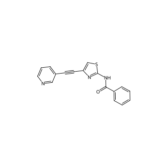 O=C(Nc1nc(C#Cc2cccnc2)cs1)c1ccccc1